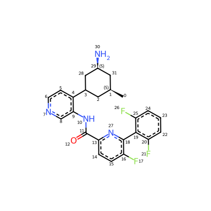 C[C@H]1CC(c2ccncc2NC(=O)c2ccc(F)c(-c3c(F)cccc3F)n2)C[C@@H](N)C1